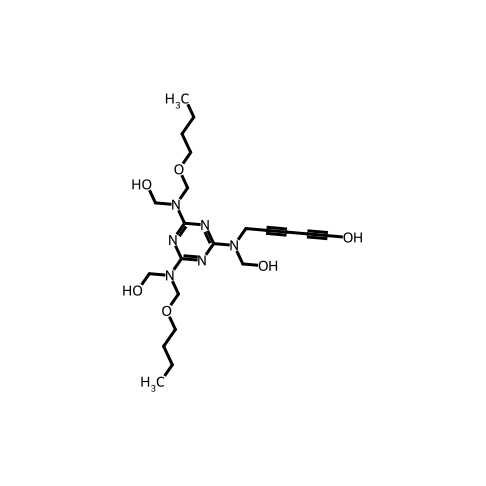 CCCCOCN(CO)c1nc(N(CO)CC#CC#CO)nc(N(CO)COCCCC)n1